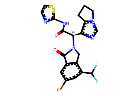 O=C(Nc1nccs1)[C@@H](c1ncn2c1CCC2)N1Cc2c(cc(Br)cc2C(F)F)C1=O